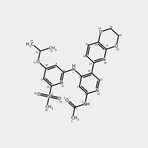 CC(=O)Nc1cc(Nc2cc(OC(C)C)cc(S(C)(=O)=O)n2)c(-c2ccc3c(n2)OCCO3)cn1